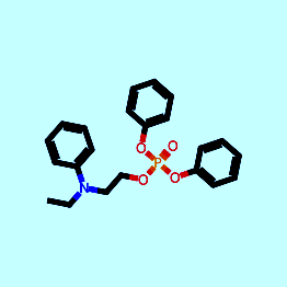 CCN(CCOP(=O)(Oc1ccccc1)Oc1ccccc1)c1ccccc1